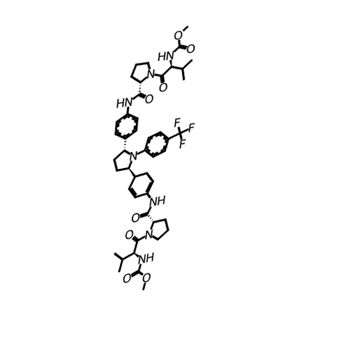 COC(=O)N[C@H](C(=O)N1CCC[C@H]1C(=O)NC1=CCC([C@H]2CC[C@H](c3ccc(NC(=O)[C@@H]4CCCN4C(=O)[C@@H](NC(=O)OC)C(C)C)cc3)N2c2ccc(C(F)(F)F)cc2)C=C1)C(C)C